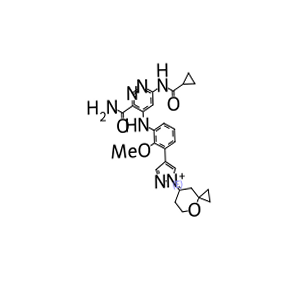 COc1c(Nc2cc(NC(=O)C3CC3)nnc2C(N)=O)cccc1C1=C/[N+](=C2/CCOC3(CC3)C2)N=C1